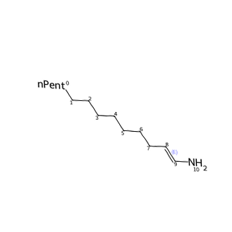 CCCCCCCCCCCC/C=C/N